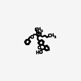 CCCCc1nn(C)c(COCc2ccccc2)c1Cc1ccc(-c2ccccc2C(=O)O)cc1